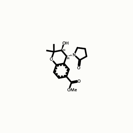 COC(=O)c1ccc2c(c1)[C@@H](N1CCCC1=O)[C@H](O)C(C)(C)O2